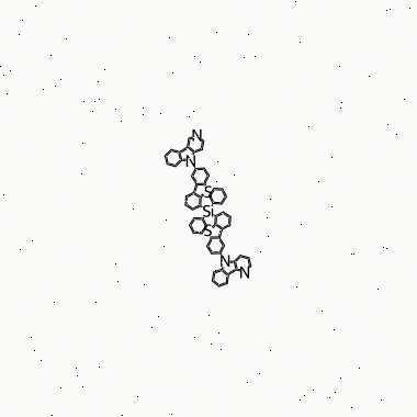 c1ccc([Si](c2ccccc2)(c2cccc3c2sc2ccc(-n4c5ccccc5c5cnccc54)cc23)c2cccc3c2sc2ccc(-n4c5ccccc5c5ncccc54)cc23)cc1